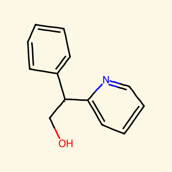 OC[C](c1ccccc1)c1ccccn1